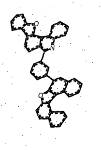 c1cc(-c2nc3ccccc3c3c2ccc2c4ccccc4oc23)cc(-c2cc3ccccc3c3c2oc2ccc4ccccc4c23)c1